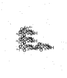 CCCCC(CC)(C(=O)[O-])C(=O)[C@@H](N)Cc1c[nH]cn1.CCCCC(CC)(C(=O)[O-])C(=O)[C@@H](N)Cc1c[nH]cn1.CCCCC(CC)(C(=O)[O-])C(=O)[C@@H](N)Cc1c[nH]cn1.CCCCC(CC)(C(=O)[O-])C(=O)[C@@H](N)Cc1c[nH]cn1.[Sn+4]